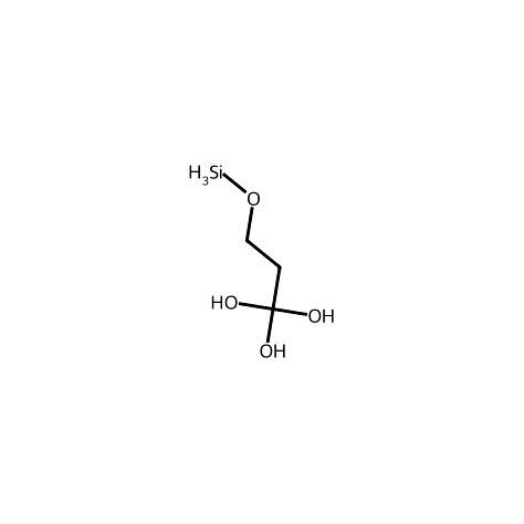 OC(O)(O)CCO[SiH3]